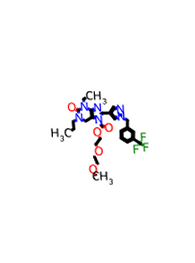 CCCN1Cc2c(nc(-c3cnn(Cc4cccc(C(F)(F)F)c4)c3)n2C(=O)OCCOCCOC)N(CC)C1=O